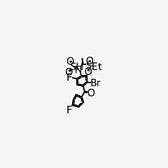 CCS(=O)(=O)C(C)N(c1cc(Br)c(C(=O)c2ccc(F)cc2)cc1F)[SH](=O)=O